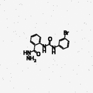 NNC(=O)c1ccccc1NC(=O)Nc1cccc(Br)c1